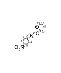 O=[N+]([O-])c1ccc(OCCOC2CCCCO2)cc1